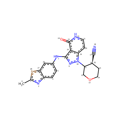 Cc1nc2ccc(Nc3nn(C4COCC[C@@H]4C#N)c4cc[nH]c(=O)c34)cc2s1